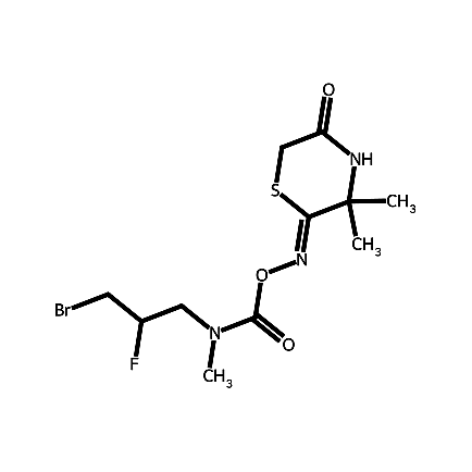 CN(CC(F)CBr)C(=O)ON=C1SCC(=O)NC1(C)C